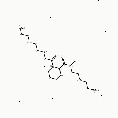 CNCCOCCN(C)C(=O)C1CCCCN1C(=O)COCCOCCOC